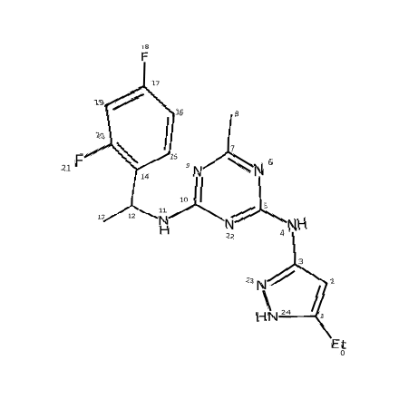 CCc1cc(Nc2nc(C)nc(NC(C)c3ccc(F)cc3F)n2)n[nH]1